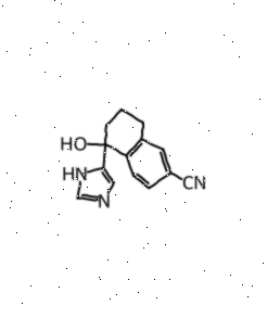 N#Cc1ccc2c(c1)CCCC2(O)c1cnc[nH]1